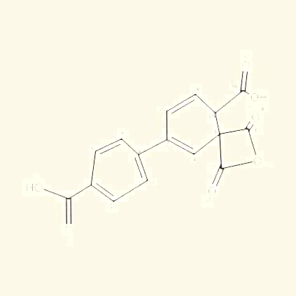 O=C(O)c1ccc(C2=CC3(C(=O)OC3=O)C(C(=O)O)C=C2)cc1